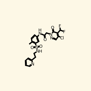 Cc1ccc(NC(=O)Cn2ncc(Cl)c(C(F)F)c2=O)cc1S(=O)(=O)NCCc1ccccn1